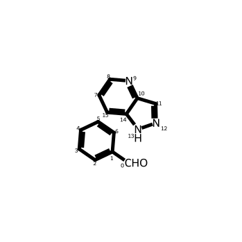 O=Cc1ccccc1.c1cnc2cn[nH]c2c1